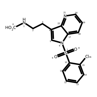 O=C(O)NCCc1cn(S(=O)(=O)c2ccccc2Cl)c2cccnc12